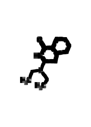 CCP(CC)c1cc2ccccc2c(=O)[nH]1